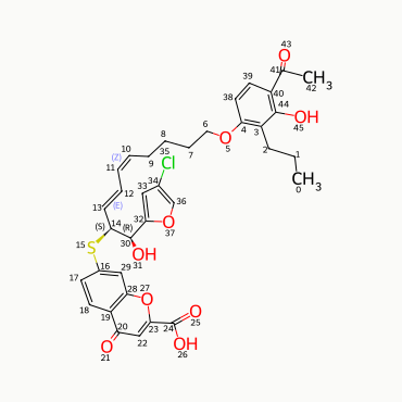 CCCc1c(OCCCC/C=C\C=C\[C@H](Sc2ccc3c(=O)cc(C(=O)O)oc3c2)[C@H](O)c2cc(Cl)co2)ccc(C(C)=O)c1O